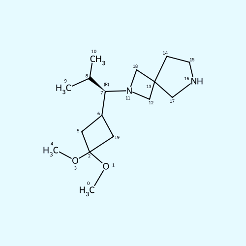 COC1(OC)CC([C@@H](C(C)C)N2CC3(CCNC3)C2)C1